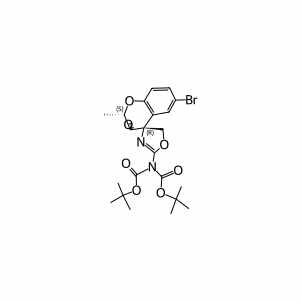 C[C@@H]1Oc2ccc(Br)cc2[C@@]2(COC(N(C(=O)OC(C)(C)C)C(=O)OC(C)(C)C)=N2)C12COC2